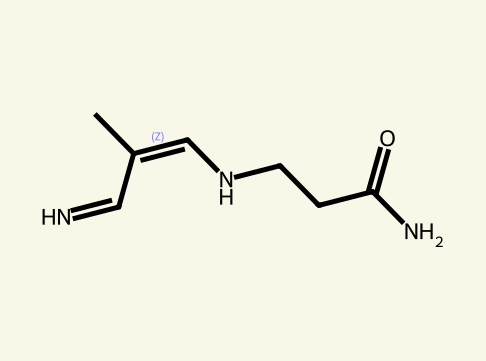 C/C(C=N)=C/NCCC(N)=O